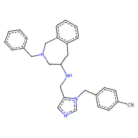 N#Cc1ccc(Cn2cncc2CNC2Cc3ccccc3CN(Cc3ccccc3)C2)cc1